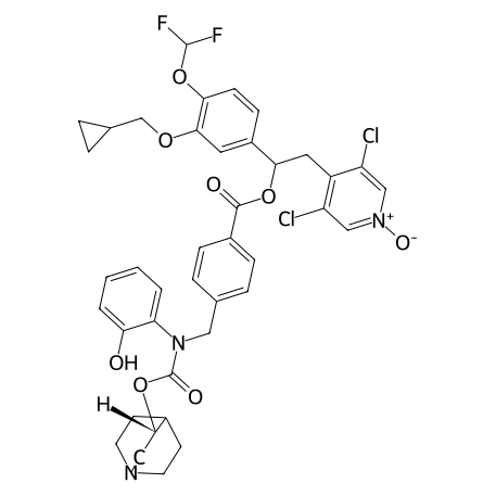 O=C(OC(Cc1c(Cl)c[n+]([O-])cc1Cl)c1ccc(OC(F)F)c(OCC2CC2)c1)c1ccc(CN(C(=O)O[C@H]2CN3CCC2CC3)c2ccccc2O)cc1